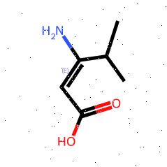 CC(C)/C(N)=C\C(=O)O